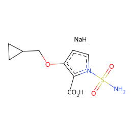 NS(=O)(=O)n1ccc(OCC2CC2)c1C(=O)O.[NaH]